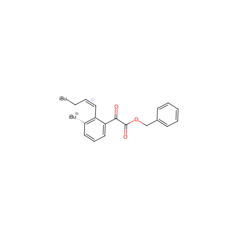 CCC(C)C/C=C\c1c(C(=O)C(=O)OCc2ccccc2)cccc1[C@@H](C)CC